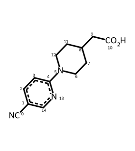 N#Cc1ccc(N2CCC(CC(=O)O)CC2)nc1